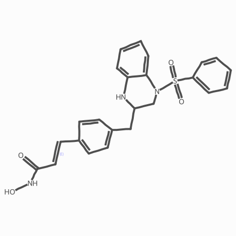 O=C(/C=C/c1ccc(CC2CN(S(=O)(=O)c3ccccc3)c3ccccc3N2)cc1)NO